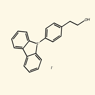 OCCc1ccc(-[s+]2c3ccccc3c3ccccc32)cc1.[I-]